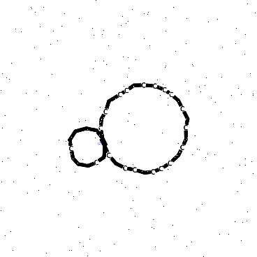 C1CCCCCCCCCCCCC/C2=C(\CCCCCCCCCCCC1)CCCCCCCCCC2